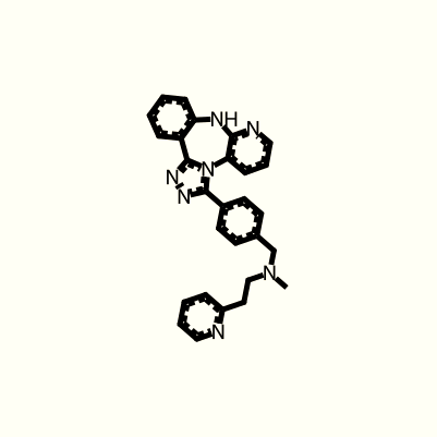 CN(CCc1ccccn1)Cc1ccc(-c2nnc3n2-c2cccnc2Nc2ccccc2-3)cc1